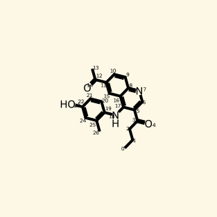 CCCC(=O)c1cnc2ccc(C(C)=O)cc2c1Nc1ccc(O)cc1C